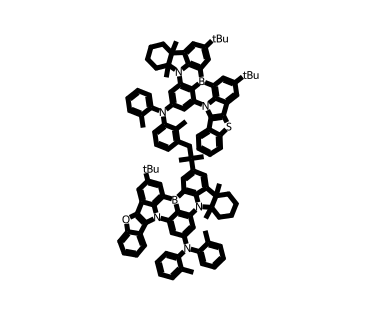 Cc1ccccc1N(c1cc2c3c(c1)-n1c4c(cc(C(C)(C)C)cc4c4oc5ccccc5c41)B3c1cc(C(C)(C)Cc3cccc(N(c4cc5c6c(c4)-n4c7c(cc(C(C)(C)C)cc7c7sc8ccccc8c74)B6c4cc(C(C)(C)C)cc6c4N5C4(C)CCCCC64C)c4ccccc4C)c3C)cc3c1N2C1(C)CCCCC31C)c1ccccc1C